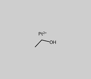 CCO.[Pt+2]